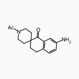 CC(=O)N1CCC2(CCc3ccc(N)cc3C2=O)CC1